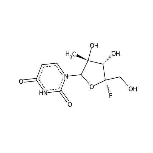 C[C@]1(O)C(n2ccc(=O)[nH]c2=O)O[C@](F)(CO)[C@H]1O